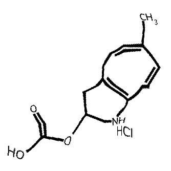 Cc1ccc2c(c1)CC(OC(=O)O)N2.Cl